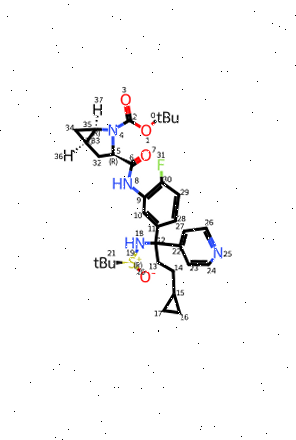 CC(C)(C)OC(=O)N1[C@@H](C(=O)Nc2cc(C(CCC3CC3)(N[S@@+]([O-])C(C)(C)C)c3ccncc3)ccc2F)C[C@H]2C[C@H]21